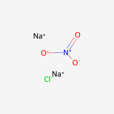 O=[N+]([O-])[O-].[Cl-].[Na+].[Na+]